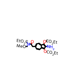 CCOC(=O)Oc1c2ccc(CC(=O)N(COC)C(=O)OCC)ccc-2c(OC(=O)OCC)c1N